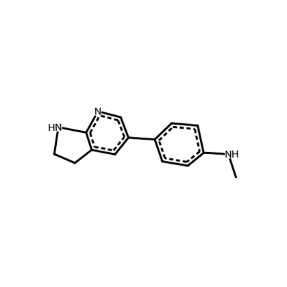 CNc1ccc(-c2cnc3c(c2)CCN3)cc1